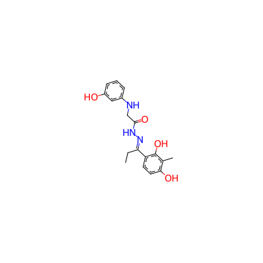 CC/C(=N\NC(=O)CNc1cccc(O)c1)c1ccc(O)c(C)c1O